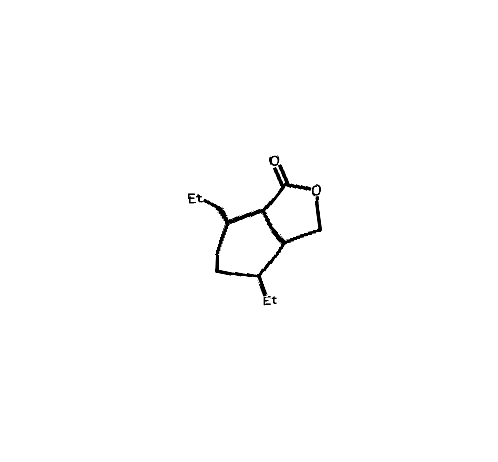 CCC1CC(CC)C2C(=O)OCC12